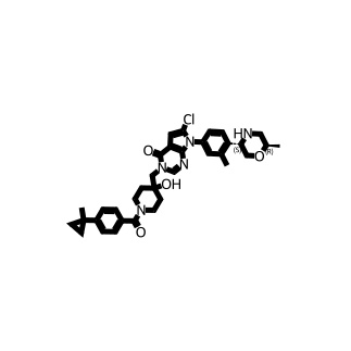 Cc1cc(-n2c(Cl)cc3c(=O)n(CC4(O)CCN(C(=O)c5ccc(C6(C)CC6)cc5)CC4)cnc32)ccc1[C@H]1CO[C@H](C)CN1